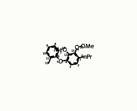 CCCc1ccc(Oc2ccccc2C)c(OC)c1OOC